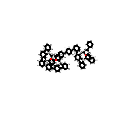 c1ccc(-c2nc(-c3ccccc3)nc(-n3c4cccc(-c5ccc(-c6ccc(-c7nc(-n8c9ccccc9c9ccc%10c%11ccccc%11n(-c%11ccccc%11)c%10c98)nc(-n8c9ccccc9c9ccc%10c%11ccccc%11n(-c%11ccccc%11)c%10c98)n7)cc6)cc5)c4c4ccc5c6ccccc6n(-c6ccccc6)c5c43)n2)cc1